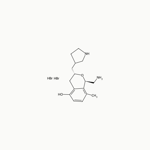 Br.Br.Cc1ccc(O)c2c1[C@H](CN)O[C@@H](CC1CCNC1)C2